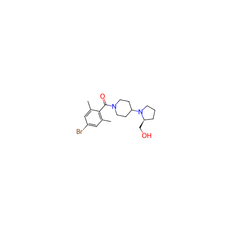 Cc1cc(Br)cc(C)c1C(=O)N1CCC(N2CCC[C@H]2CO)CC1